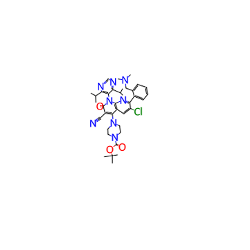 CC(C)c1ncnc(C(C)C)c1-n1c(=O)c(C#N)c(N2CCN(C(=O)OC(C)(C)C)CC2)c2cc(Cl)c(-c3ccccc3CN(C)C)nc21